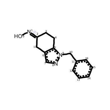 O/N=C1/CCc2c(cnn2Cc2ccccc2)C1